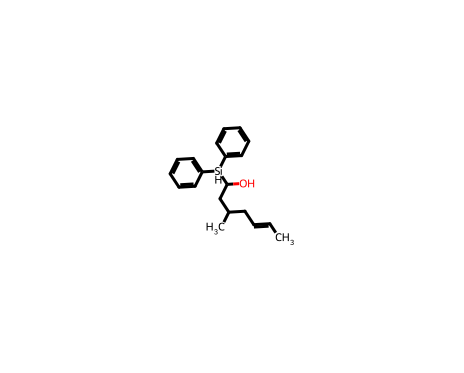 CC=CCC(C)CC(O)[SiH](c1ccccc1)c1ccccc1